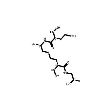 CC(=O)[C@H](CSCC[C@H](NC(C)C)C(=O)NC[C@@H](C)O)NC(=O)[C@H](CCC(=O)O)NS